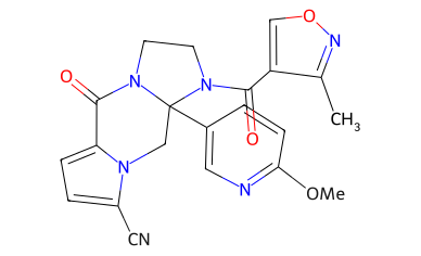 COc1ccc(C23Cn4c(C#N)ccc4C(=O)N2CCN3C(=O)c2conc2C)cn1